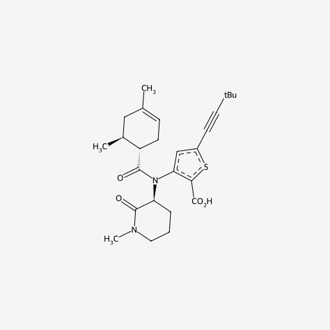 CC1=CC[C@H](C(=O)N(c2cc(C#CC(C)(C)C)sc2C(=O)O)[C@H]2CCCN(C)C2=O)[C@@H](C)C1